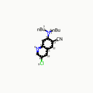 CCCCN(CCCC)c1cc2ncc(Cl)cc2cc1C#N